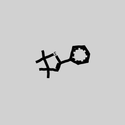 CC1(C)C=C(c2ccccc2)SC1(C)C